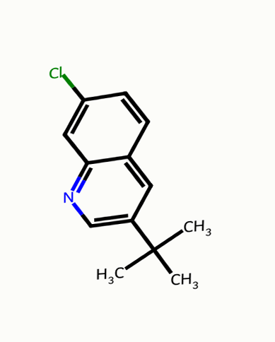 CC(C)(C)c1cnc2cc(Cl)ccc2c1